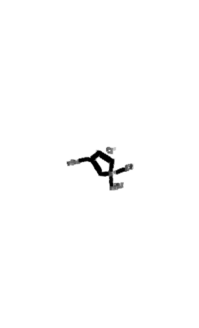 CCCCC1=C[N+](CC)(CCCC)C=C1.[Cl-]